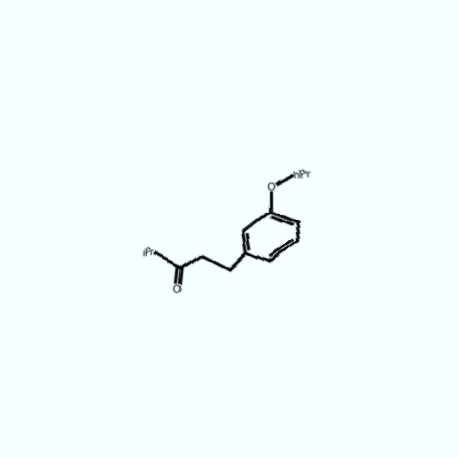 CCCOc1cccc(CCC(=O)C(C)C)c1